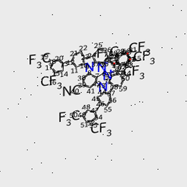 Cc1cc(C)nc(-c2c(-n3c4cc(-c5cc(C(F)(F)F)cc(C(F)(F)F)c5)ccc4c4ccc(-c5cc(C(F)(F)F)cc(C(F)(F)F)c5)cc43)cc(C#N)cc2-n2c3cc(-c4cc(C(F)(F)F)cc(C(F)(F)F)c4)ccc3c3ccc(-c4cc(C(F)(F)F)cc(C(F)(F)F)c4)cc32)n1